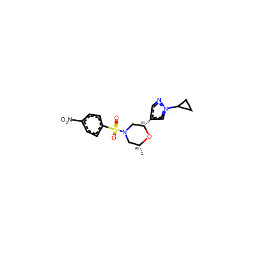 C[C@@H]1CN(S(=O)(=O)c2ccc([N+](=O)[O-])cc2)C[C@H](c2cnn(C3CC3)c2)O1